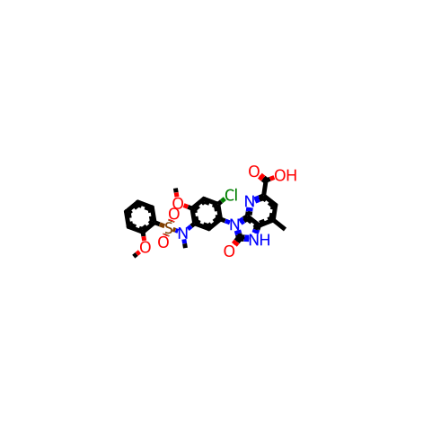 COc1cc(Cl)c(-n2c(=O)[nH]c3c(C)cc(C(=O)O)nc32)cc1N(C)S(=O)(=O)c1ccccc1OC